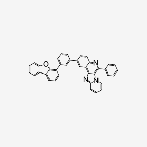 c1ccc(-c2nc3ccc(-c4cccc(-c5cccc6c5oc5ccccc56)c4)cc3c3nc4ccccn4c23)cc1